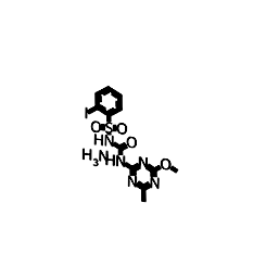 COc1nc(C)nc(NC(=O)NS(=O)(=O)c2ccccc2I)n1.N